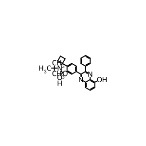 CC(C)(C)N(C(=O)O)C1(c2ccc(-c3nc4cccc(O)c4nc3-c3ccccc3)cc2)CCC1